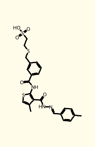 Cc1ccc(C=NNC(=O)c2c(C)csc2NC(=O)c2cccc(CSCCS(=O)(=O)O)c2)cc1